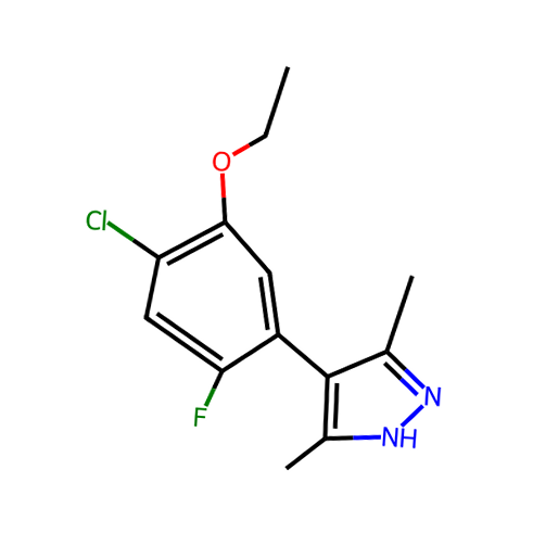 CCOc1cc(-c2c(C)n[nH]c2C)c(F)cc1Cl